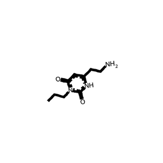 CCCn1c(=O)cc(CCN)[nH]c1=O